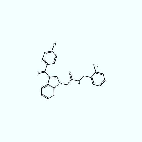 Cc1ccccc1CNC(=O)Cn1cc(C(=O)c2ccc(Cl)cc2)c2ccccc21